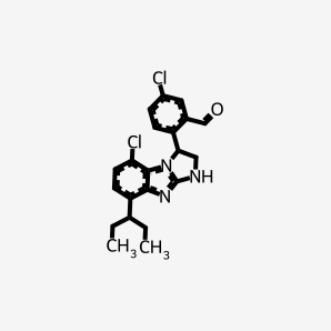 CCC(CC)c1ccc(Cl)c2c1nc1n2C(c2ccc(Cl)cc2C=O)CN1